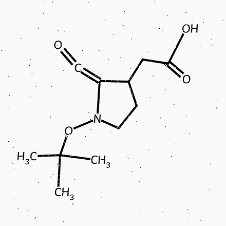 CC(C)(C)ON1CCC(CC(=O)O)C1=C=O